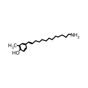 Cc1cc(C=CCCCCCCCCCCCN)ccc1O